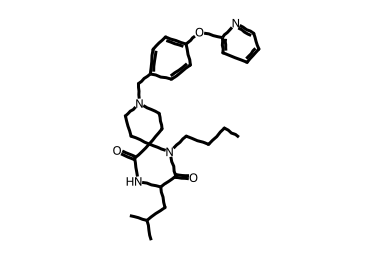 CCCCN1C(=O)C(CC(C)C)NC(=O)C12CCN(Cc1ccc(Oc3ccccn3)cc1)CC2